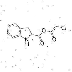 O=C(CCl)OC(=O)C1Cc2ccccc2N1